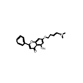 CN(C)CCCCOc1cc(O)c2c(=O)cc(-c3ccccc3)oc2c1